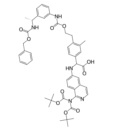 Cc1cc(C(Nc2ccc3c(N(C(=O)OC(C)(C)C)C(=O)OC(C)(C)C)nccc3c2)C(=O)O)ccc1CCOC(=O)Nc1cccc([C@@H](C)NC(=O)OCc2ccccc2)c1